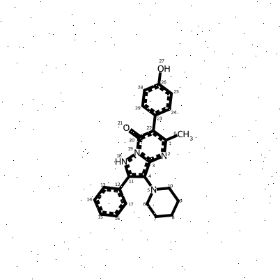 Cc1nc2c(N3CCCCC3)c(-c3ccccc3)[nH]n2c(=O)c1-c1ccc(O)cc1